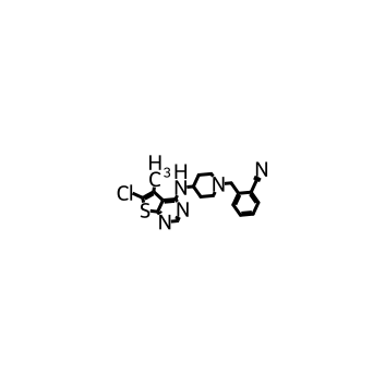 Cc1c(Cl)sc2ncnc(NC3CCN(Cc4ccccc4C#N)CC3)c12